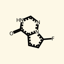 O=c1[nH]cnn2c(F)ccc12